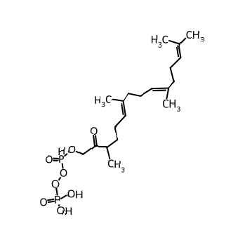 CC(C)=CCCC(C)=CCCC(C)=CCCC(C)C(=O)CO[PH](=O)OOP(=O)(O)O